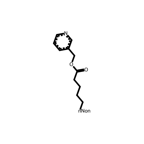 CCCCCCCCCCCCCC(=O)OCc1cccnc1